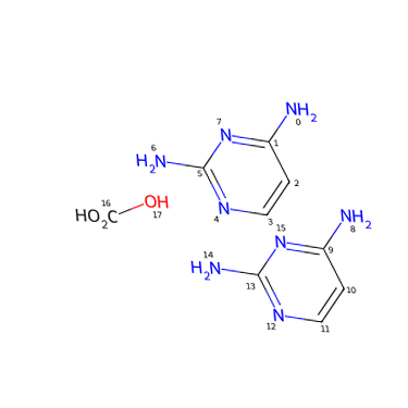 Nc1ccnc(N)n1.Nc1ccnc(N)n1.O=C(O)O